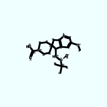 COc1cnc2c(c1)C(N[S@+]([O-])C(C)(C)C)C1(CCN(C(=O)O)CC1)C2